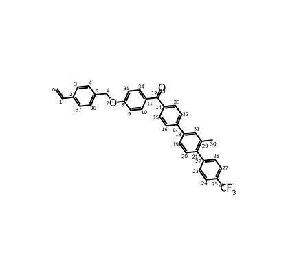 C=Cc1ccc(COc2ccc(C(=O)c3ccc(-c4ccc(-c5ccc(C(F)(F)F)cc5)c(C)c4)cc3)cc2)cc1